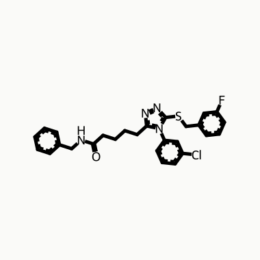 O=C(CCCCc1nnc(SCc2cccc(F)c2)n1-c1cccc(Cl)c1)NCc1ccccc1